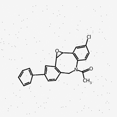 CC(=O)N1Cc2ccc(-c3ccccc3)cc2C2OC2c2cc(Cl)ccc21